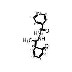 C/C(NNC(=O)c1ccncc1)=C1\C=CC=CC1=O